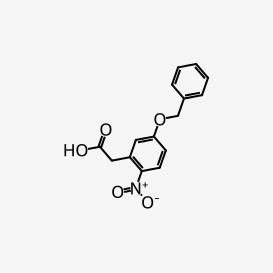 O=C(O)Cc1cc(OCc2ccccc2)ccc1[N+](=O)[O-]